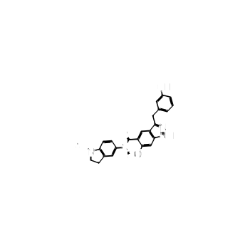 CC(=O)N1CCc2cc(N(C)C(=O)c3cc4c(Cc5cccc(C)c5)n[nH]c4cc3O)ccc21